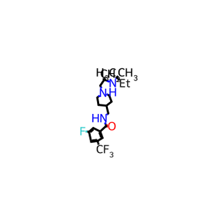 C=C(CN1CCC(CNC(=O)c2cc(F)cc(C(F)(F)F)c2)CC1)NC(C)(C)CC